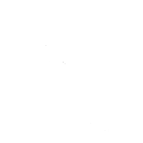 O=C(O)Cc1ccc2ccn(Cc3ccccc3C(F)(F)F)c2c1